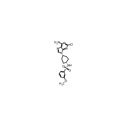 COc1cccc(S(=O)(=O)N[C@H]2CC[C@@H](n3cnc4c(N)nc(Cl)nc43)CC2)c1